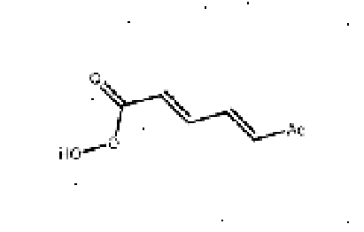 CC(=O)C=CC=CC(=O)OO